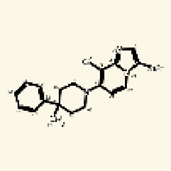 CCCc1cnc2c(Cl)c(N3CCC(C)(c4ccccc4)CC3)ccn12